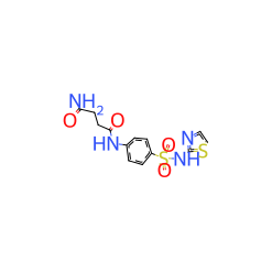 NC(=O)CCC(=O)Nc1ccc(S(=O)(=O)Nc2nccs2)cc1